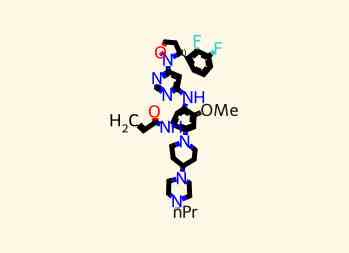 C=CC(=O)Nc1cc(Nc2cc(N3OCC[C@@H]3c3cccc(F)c3F)ncn2)c(OC)cc1N1CCC(N2CCN(CCC)CC2)CC1